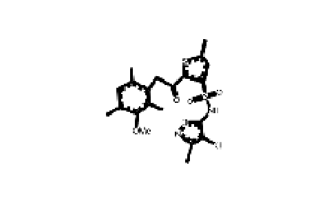 COc1c(C)cc(C)c(CC(=O)c2sc(C)cc2S(=O)(=O)Nc2onc(C)c2Cl)c1C